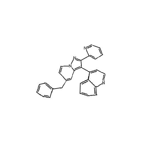 c1ccc(Cc2ccn3nc(-c4ccccn4)c(-c4ccnc5ccccc45)c3c2)cc1